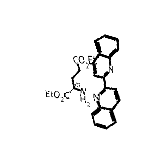 CCOC(=O)CC[C@H](N)C(=O)OCC.c1ccc2nc(-c3ccc4ccccc4n3)ccc2c1